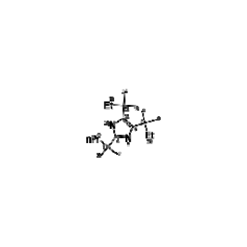 CCCC(C)(C)C1=NC(C(C)(C)CC)=C(C(C)(C)CC)[N]1